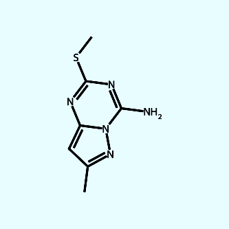 CSc1nc(N)n2nc(C)cc2n1